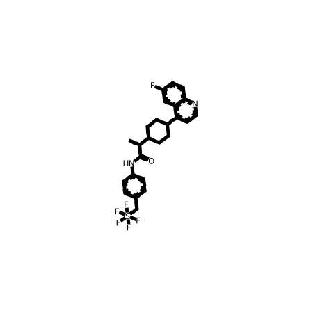 CC(C(=O)Nc1ccc(CS(F)(F)(F)(F)F)cc1)C1CCC(c2ccnc3ccc(F)cc23)CC1